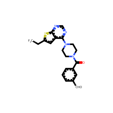 O=Cc1cccc(C(=O)N2CCN(c3ncnc4sc(CC(F)(F)F)cc34)CC2)c1